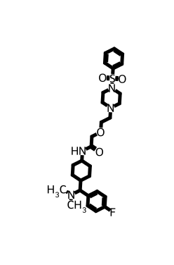 CN(C)C(c1ccc(F)cc1)C1CCC(NC(=O)COCCN2CCN(S(=O)(=O)c3ccccc3)CC2)CC1